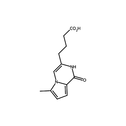 Cc1ccc2c(=O)[nH]c(CCCC(=O)O)cn12